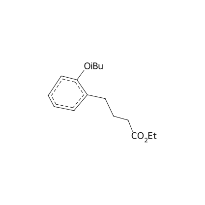 CCOC(=O)CCCc1ccccc1OCC(C)C